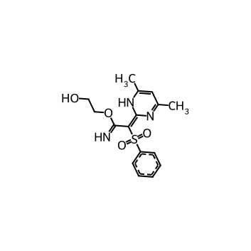 CC1=CC(C)=N/C(=C(/C(=N)OCCO)S(=O)(=O)c2ccccc2)N1